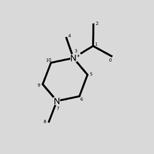 CC(C)[N+]1(C)CCN(C)CC1